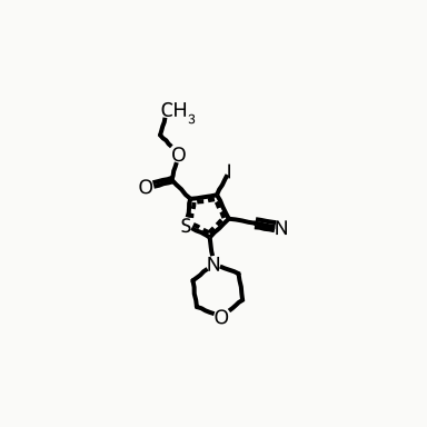 CCOC(=O)c1sc(N2CCOCC2)c(C#N)c1I